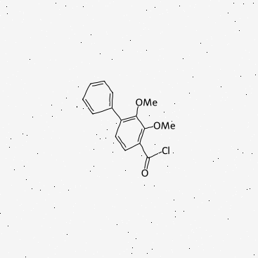 COc1c(C(=O)Cl)ccc(-c2ccccc2)c1OC